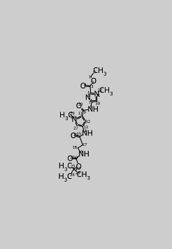 CCOC(=O)c1nc(NC(=O)c2cc(NC(=O)CCNC(=O)OC(C)(C)C)cn2C)cn1C